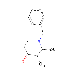 CC1C(=O)CCN(Cc2ccccc2)C1C